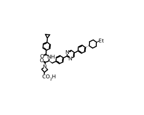 CC[C@H]1CC[C@H](c2ccc(-c3cnc(-c4ccc(C[C@H](NC(=O)c5ccc(C6CC6)cc5)C(=O)N5CC(C(=O)O)C5)cc4)nc3)cc2)CC1